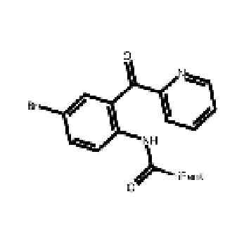 CCC[C@H](C)C(=O)Nc1ccc(Br)cc1C(=O)c1ccccn1